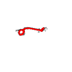 CO[C@H]1C[C@]2(O)CC[C@@H](C)[C@@](O)(O2)C(=O)C(=O)N2CCCC[C@H]2C(=O)O[C@H]([C@H](C)C[C@@H]2CC[C@@H](OCCOCc3cn(CCOCCOCCOCCOCCOCCOCCOCCOCCC(=O)NCCCCC4N=C(c5ccc6oc(N)nc6c5)c5c(N)ncnc54)nn3)[C@H](OC)C2)CC(=O)[C@H](C)/C=C(\C)[C@@H](O)[C@@H](OC)C(=O)[C@H](C)C[C@H](C)/C=C/C=C/C=C/1C